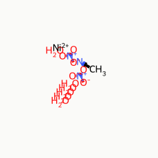 CC#N.O.O.O.O.O.O.O=[N+]([O-])[O-].O=[N+]([O-])[O-].[Ni+2]